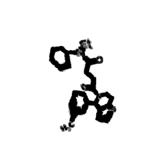 CCN(C(=O)CCC(=O)N1CCc2sccc2C1c1cccc(C)c1)C1CCCCC1